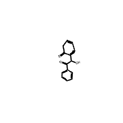 O=C(c1ccccc1)C(O)C1=CC=CCC1=S